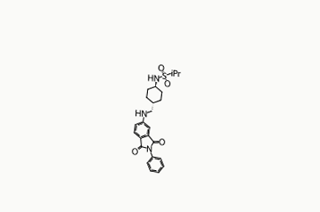 CC(C)S(=O)(=O)N[C@H]1CC[C@H](CNc2ccc3c(c2)C(=O)N(c2ccccc2)C3=O)CC1